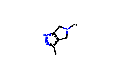 CC(=O)N1Cc2[nH]nc(C)c2C1